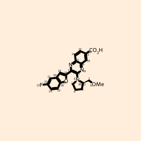 COC[C@H]1CCCN1c1nc2cc(C(=O)O)ccc2nc1-c1cc2cc(F)ccc2o1